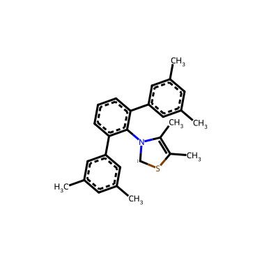 CC1=C(C)N(c2c(-c3cc(C)cc(C)c3)cccc2-c2cc(C)cc(C)c2)[C]S1